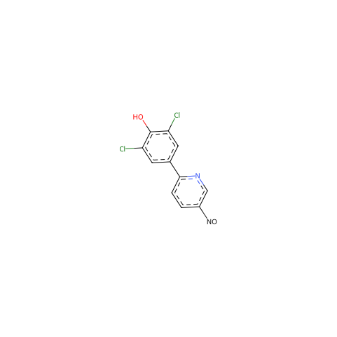 O=Nc1ccc(-c2cc(Cl)c(O)c(Cl)c2)nc1